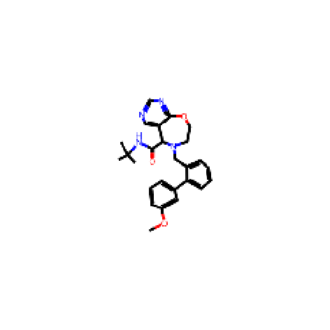 COc1cccc(-c2ccccc2CN2CCOc3ncncc3C2C(=O)NC(C)(C)C)c1